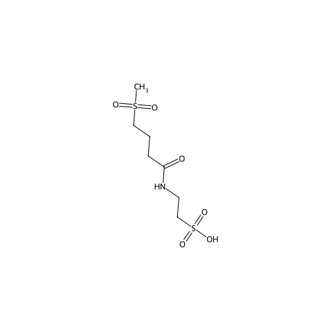 CS(=O)(=O)CCCC(=O)NCCS(=O)(=O)O